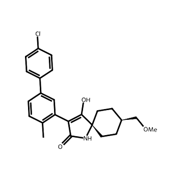 COC[C@H]1CC[C@@]2(CC1)NC(=O)C(c1cc(-c3ccc(Cl)cc3)ccc1C)=C2O